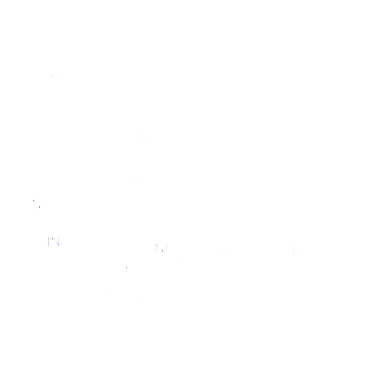 NC1(c2[nH]nc(C3CCOCC3)c2C(=O)OCC(=O)c2c(F)cccc2F)CC1